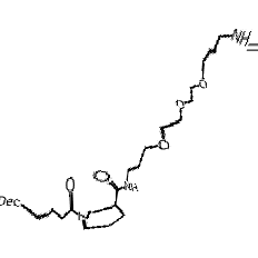 CCCCCCCCCCCCCC(=O)N1CCCC1C(=O)NCCCOCCOCCOCCCN